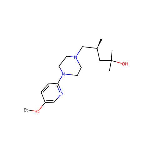 CCOc1ccc(N2CCN(C[C@@H](C)CC(C)(C)O)CC2)nc1